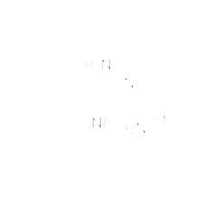 N#Cc1c(NCc2ccccc2)cc(N)nc1-c1ccco1